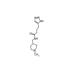 CN1CCC(CNC(=O)CCCc2cnn[nH]2)CC1